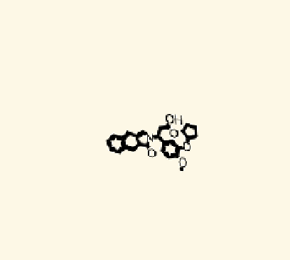 COc1ccc(C(CC(=O)O)N2C=C3C=c4ccccc4=CC3C2=O)cc1OC1CCCC1